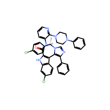 C[C@@H](c1ccc(Cl)cc1)n1cnc(-c2ccccc2)c1-c1c(C(=O)Nc2cccnc2N2CCN(c3ccccc3)CC2)[nH]c2cc(Cl)ccc12